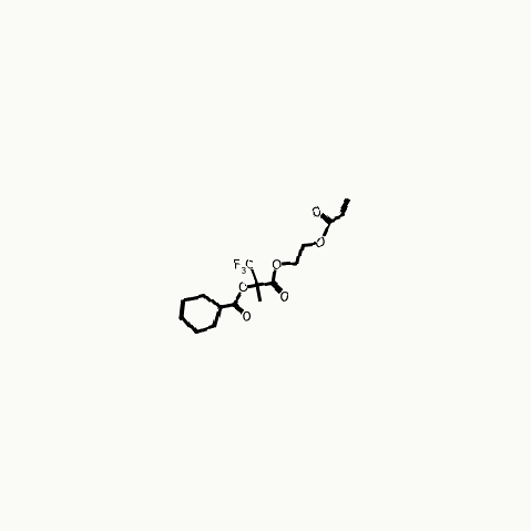 C=CC(=O)OCCOC(=O)C(C)(OC(=O)C1CCCCC1)C(F)(F)F